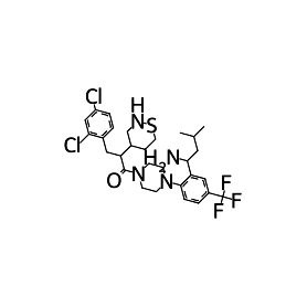 CC(C)CC(N)c1cc(C(F)(F)F)ccc1N1CCN(C(=O)C(Cc2ccc(Cl)cc2Cl)C2CCSNC2)CC1